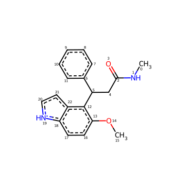 CNC(=O)CC(c1ccccc1)c1c(OC)ccc2[nH]ccc12